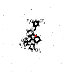 CN1CCN(C(=O)C2(C(N)=O)C=C(c3ccccc3)C3=C(N2)OCCN(Cc2cc(C(F)(F)F)cc(C(F)(F)F)c2)C3=O)CC1